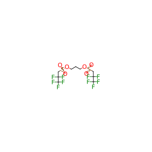 O=S(=O)(CC(F)(F)C(F)(F)F)OCCCOS(=O)(=O)CC(F)(F)C(F)(F)F